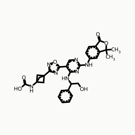 CC1(C)OC(=O)c2ccc(Nc3ncc(-c4nc(C56CC(NC(=O)O)(C5)C6)no4)c(NC(CO)c4ccccc4)n3)cc21